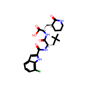 CC(C)(C)C[C@H](NC(=O)c1cc2cccc(F)c2[nH]1)C(=O)N[C@@H](C[C@@H]1CCCNC1=O)C(=O)O